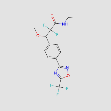 CCNC(=O)C(F)(F)C(OC)c1ccc(-c2noc(C(F)(F)F)n2)cc1